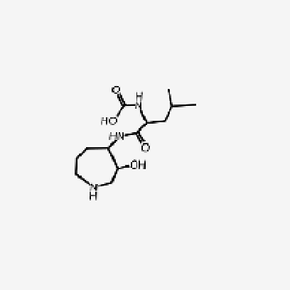 CC(C)CC(NC(=O)O)C(=O)NC1CCCNC[C@@H]1O